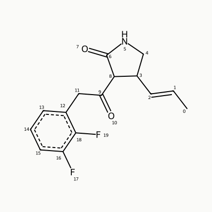 C/C=C/C1CNC(=O)C1C(=O)Cc1cccc(F)c1F